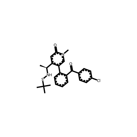 C[C@H](NSC(C)(C)C)c1cc(=O)n(C)cc1-c1ccccc1C(=O)c1ccc(Cl)cc1